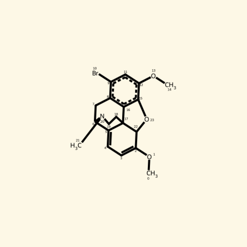 COC1=CC=C2C3Cc4c(Br)cc(OC)c5c4C2(CCN3C)C1O5